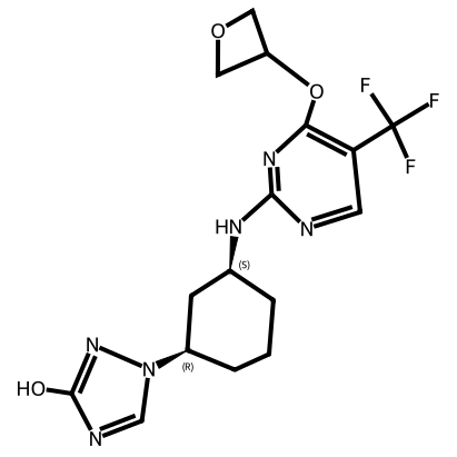 Oc1ncn([C@@H]2CCC[C@H](Nc3ncc(C(F)(F)F)c(OC4COC4)n3)C2)n1